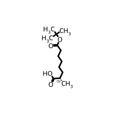 C[C@@H](CCCCCC(=O)OC(C)(C)C)C(=O)O